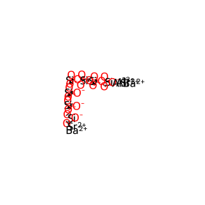 O=[Si]([O-])[O-].O=[Si]([O-])[O-].O=[Si]([O-])[O-].O=[Si]([O-])[O-].O=[Si]([O-])[O-].O=[Si]([O-])[O-].O=[Si]([O-])[O-].[Al+3].[Al+3].[Ba+2].[Ba+2].[Sr+2].[Sr+2]